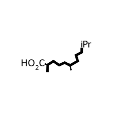 CC(C)CCC[C@@H](C)CCC[C@@H](C)C(=O)O